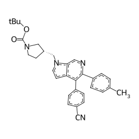 Cc1ccc(-c2ncc3c(ccn3C[C@@H]3CCN(C(=O)OC(C)(C)C)C3)c2-c2ccc(C#N)cc2)cc1